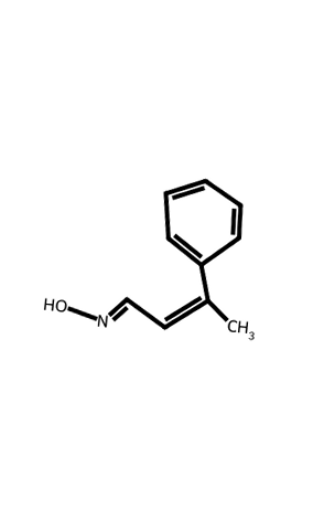 C/C(=C/C=N/O)c1ccccc1